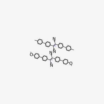 COc1ccc(-c2ccc(/C(C#N)=C(\C#N)c3ccc(-c4ccc(OC)cc4)cc3)cc2)cc1.Cc1ccc(-c2ccc(/C(C#N)=C(\C#N)c3ccc(-c4ccc(C)cc4)cc3)cc2)cc1